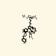 CN(C)CCCCc1cc(-c2cccc(OCc3ccccc3)c2)c2c(N)ncnn12